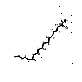 CCCCCC(C)CC=CCCCCCCC=CC(=O)O